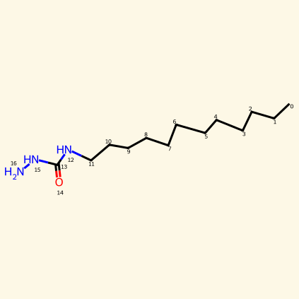 CCCCCCCCCCCCNC(=O)NN